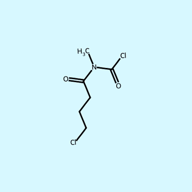 CN(C(=O)Cl)C(=O)CCCCl